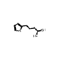 SC(S)CCCc1cccs1